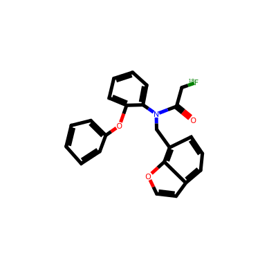 O=C(C[18F])N(Cc1cccc2ccoc12)c1ccccc1Oc1ccccc1